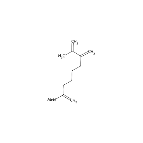 C=C(CCCCC(=C)C(=C)C)NC